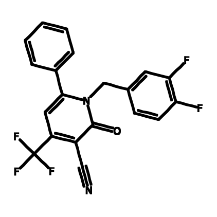 N#Cc1c(C(F)(F)F)cc(-c2ccccc2)n(Cc2ccc(F)c(F)c2)c1=O